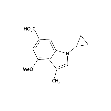 COc1cc(C(=O)O)cc2c1c(C)cn2C1CC1